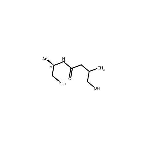 CC(=O)[C@H](CN)NC(=O)CC(C)CO